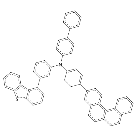 C1=C(c2ccc3c(ccc4ccc5ccccc5c43)c2)CCC(N(c2ccc(-c3ccccc3)cc2)c2cccc(-c3cccc4sc5ccccc5c34)c2)=C1